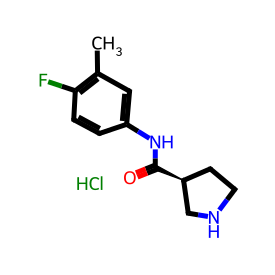 Cc1cc(NC(=O)[C@H]2CCNC2)ccc1F.Cl